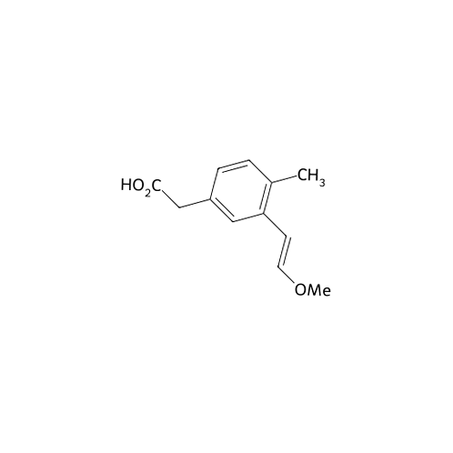 COC=Cc1cc(CC(=O)O)ccc1C